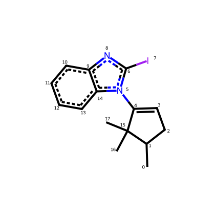 CC1CC=C(n2c(I)nc3ccccc32)C1(C)C